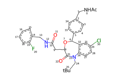 CC(=O)NCc1ccc(C2OC(CC(=O)NCc3ccccc3F)C(=O)N(CC(C)(C)C)c3ccc(Cl)cc32)cc1